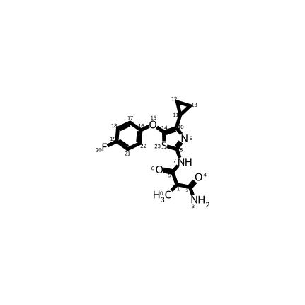 CC(C(N)=O)C(=O)Nc1nc(C2CC2)c(Oc2ccc(F)cc2)s1